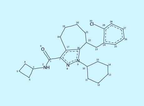 O=C(NC1CCC1)c1nn(C2CCCCC2)c2c1CCCCC2Cc1ccccc1Cl